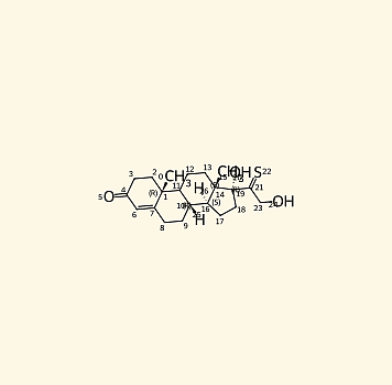 C[C@]12CCC(=O)C=C1CC[C@@H]1C2CC[C@@]2(C)[C@H]1CC[C@]2(O)C(=S)CO